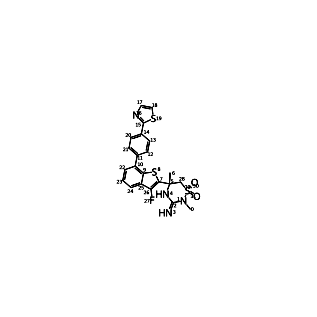 CN1C(=N)N[C@](C)(c2sc3c(-c4ccc(-c5nccs5)cc4)cccc3c2F)CS1(=O)=O